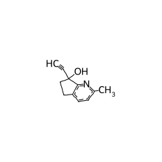 C#CC1(O)CCc2ccc(C)nc21